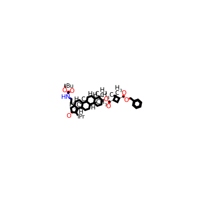 CC(C)C1=C2[C@H]3CC[C@@H]4[C@@]5(C)CC[C@H](OC(=O)[C@H]6C[C@@H](C(=O)OCc7ccccc7)C6(C)C)C(C)(C)[C@@H]5CC[C@@]4(C)[C@]3(C)CC[C@@]2(CCNC(=O)OC(C)(C)C)CC1=O